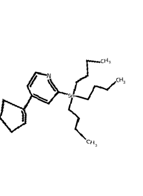 CCC[CH2][Sn]([CH2]CCC)([CH2]CCC)[c]1cc(C2=CCCC2)ccn1